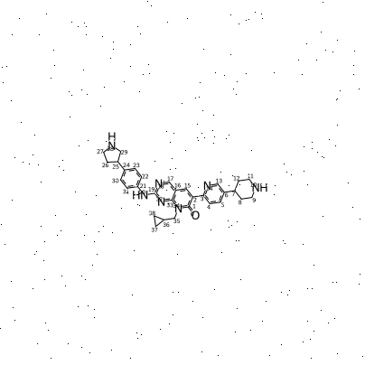 O=c1c(-c2ccc(C3CCNCC3)cn2)cc2cnc(Nc3ccc(C4CCNC4)cc3)nc2n1CC1CC1